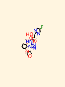 COc1cccc(OC)c1-n1c(NS(=O)(=O)[C@@H](C)[C@H](O)c2ncc(F)cn2)nnc1[C@H]1CCOC1